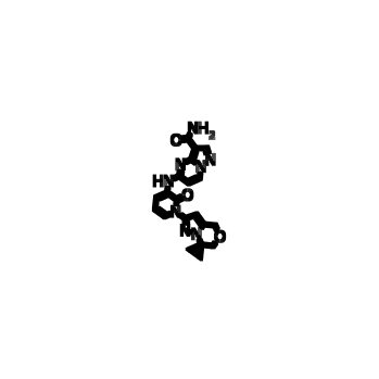 NC(=O)c1cnn2ccc(Nc3cccn(-c4cc5n(n4)C4(CC4)COC5)c3=O)nc12